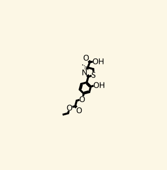 CCOC(=O)COc1ccc(C2=N[C@@](C)(C(=O)O)CS2)c(O)c1